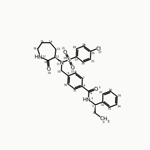 CC[C@@H](NC(=O)c1ccc(CN([C@@H]2CCCCNC2=O)S(=O)(=O)c2ccc(Cl)cc2)cc1)c1ccccc1